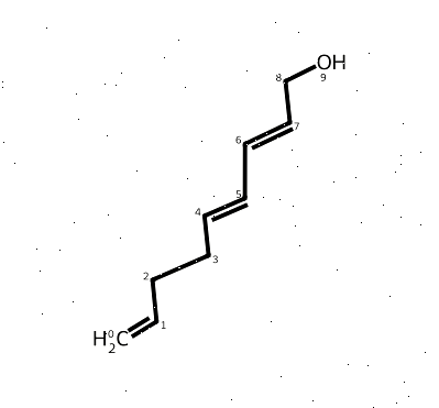 C=CCC/C=C/C=C/CO